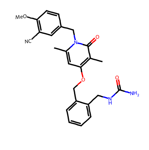 COc1ccc(Cn2c(C)cc(OCc3ccccc3CNC(N)=O)c(C)c2=O)cc1C#N